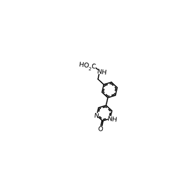 O=C(O)NCc1cccc(-c2cnc(=O)[nH]c2)c1